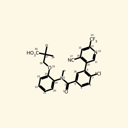 CN(C(=O)c1ccc(Cl)c(-c2cnc(C(F)(F)F)cc2C#N)c1)c1ccccc1OCC(C)(C)C(=O)O